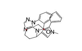 Cn1cc2c(c1-c1ccccc1)CC1CCCC2N1C(=O)c1ccccc1-n1cncn1